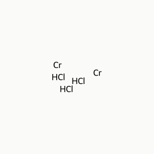 Cl.Cl.Cl.[Cr].[Cr]